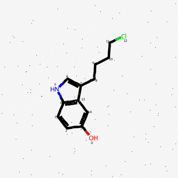 Oc1ccc2[nH]cc(CCCCCl)c2c1